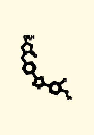 CC(C)Oc1ccc(-c2noc(-c3ccc(CN4CC(C(=O)O)CC4=O)cc3)n2)cc1Cl